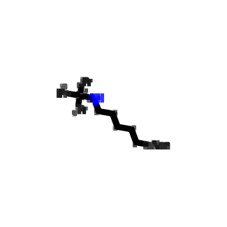 CCCCCCCCCCCCCCN[Si](C(C)C)(C(C)C)C(C)C